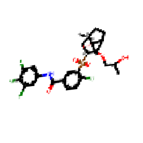 CC(O)COC[C@@]1(O)C2CC[C@H]1C[C@H](S(=O)(=O)c1cc(C(=O)Nc3cc(F)c(F)c(F)c3)ccc1Cl)C2